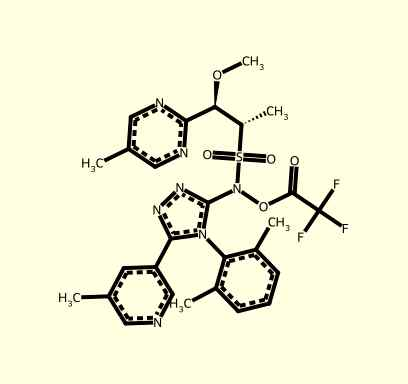 CO[C@H](c1ncc(C)cn1)[C@H](C)S(=O)(=O)N(OC(=O)C(F)(F)F)c1nnc(-c2cncc(C)c2)n1-c1c(C)cccc1C